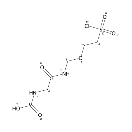 O=C(O)NCC(=O)NCOCCS(=O)(=O)Cl